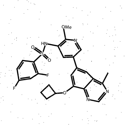 COc1ncc(-c2cc(OC3CCC3)c3ncnc(C)c3c2)cc1NS(=O)(=O)c1ccc(F)cc1F